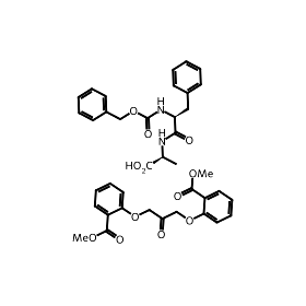 COC(=O)c1ccccc1OCC(=O)COc1ccccc1C(=O)OC.C[C@H](NC(=O)[C@H](Cc1ccccc1)NC(=O)OCc1ccccc1)C(=O)O